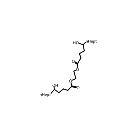 CCCCCCCC(O)CCCC(=O)OCCOC(=O)CCCC(O)CCCCCCC